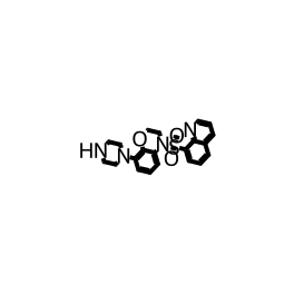 O=S(=O)(c1cccc2cccnc12)N1CCOc2c(N3CCNCC3)cccc21